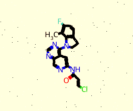 Cc1c(F)ccc2c1N(c1ncnc3cnc(NC(=O)C=CCl)cc13)CC2